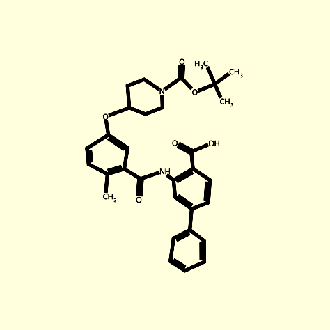 Cc1ccc(OC2CCN(C(=O)OC(C)(C)C)CC2)cc1C(=O)Nc1cc(-c2ccccc2)ccc1C(=O)O